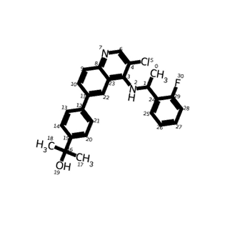 CC(Nc1c(Cl)cnc2ccc(-c3ccc(C(C)(C)O)cc3)cc12)c1ccccc1F